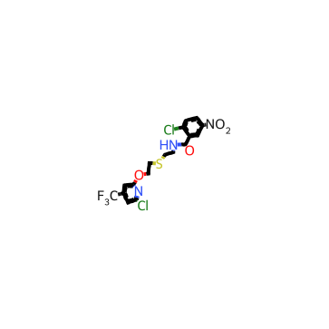 O=C(NCCSCCOc1cc(C(F)(F)F)cc(Cl)n1)c1cc([N+](=O)[O-])ccc1Cl